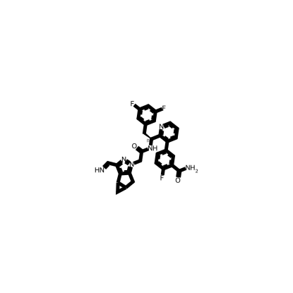 N=Cc1nn(CC(=O)N[C@@H](Cc2cc(F)cc(F)c2)c2ncccc2-c2ccc(F)c(C(N)=O)c2)c2c1C1CC1C2